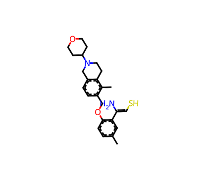 Cc1ccc(OCc2ccc3c(c2C)CCN(C2CCOCC2)C3)c(/C(N)=C/S)c1